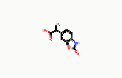 CC(C(=O)O)c1ccc2[nH]c(=O)oc2c1